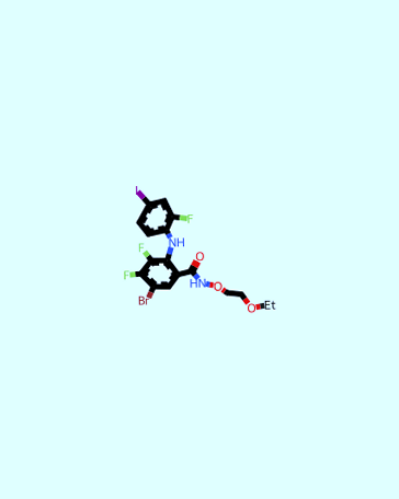 CCOCCONC(=O)c1cc(Br)c(F)c(F)c1Nc1ccc(I)cc1F